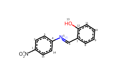 O=[N+]([O-])c1ccc(/N=C/c2ccccc2O)cc1